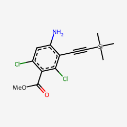 COC(=O)c1c(Cl)cc(N)c(C#C[Si](C)(C)C)c1Cl